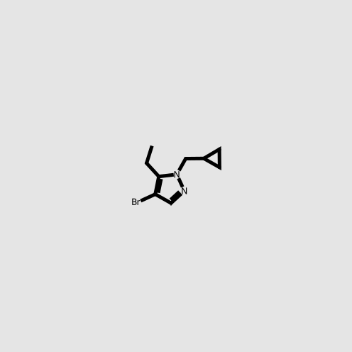 CCc1c(Br)[c]nn1CC1CC1